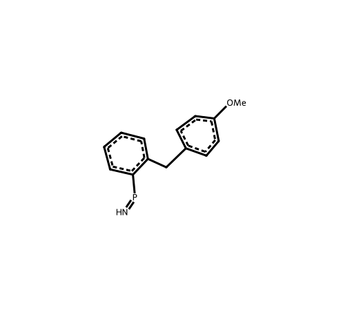 COc1ccc(Cc2ccccc2P=N)cc1